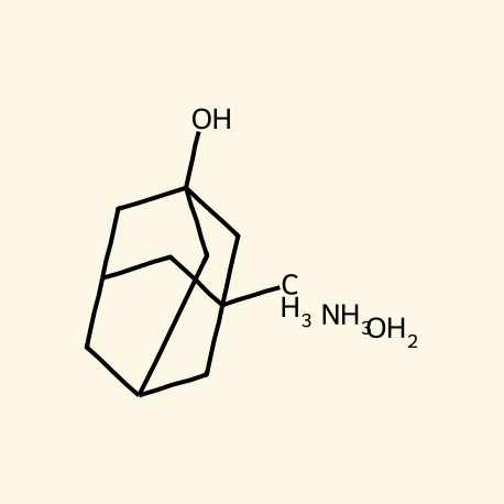 CC12CC3CC(C1)CC(O)(C3)C2.N.O